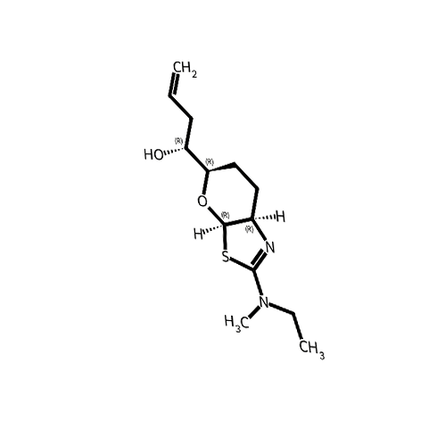 C=CC[C@@H](O)[C@H]1CC[C@H]2N=C(N(C)CC)S[C@H]2O1